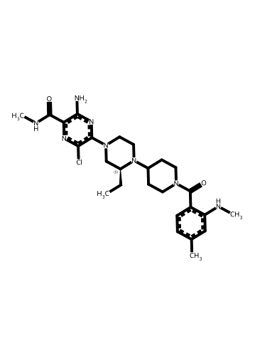 CC[C@H]1CN(c2nc(N)c(C(=O)NC)nc2Cl)CCN1C1CCN(C(=O)c2ccc(C)cc2NC)CC1